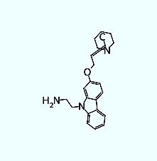 NCCn1c2ccccc2c2ccc(OCC=C3CC4CCN3CC4)cc21